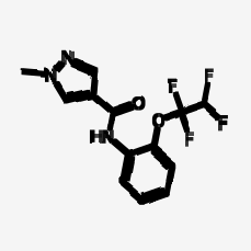 Cn1cc(C(=O)Nc2ccccc2OC(F)(F)C(F)F)cn1